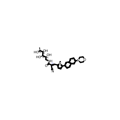 C[C@H](O)[C@@H](O)[C@H](O)[C@H](O)CNC(=O)/C(C#N)=C/c1ccc(-c2ccc3cc(N4CCOCC4)ccc3c2)n1C